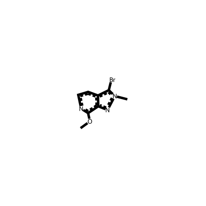 COc1nccc2c(Br)n(C)nc12